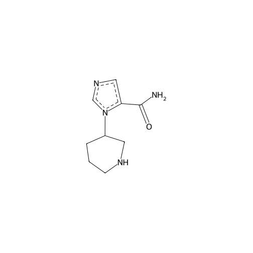 NC(=O)c1cncn1C1CCCNC1